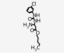 CCCCCOC(=O)CC(N)NC(=O)Nc1cccc(Cl)c1